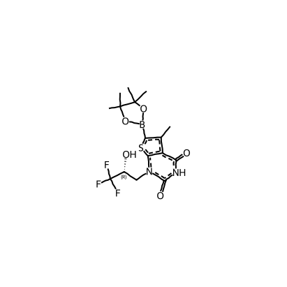 Cc1c(B2OC(C)(C)C(C)(C)O2)sc2c1c(=O)[nH]c(=O)n2C[C@@H](O)C(F)(F)F